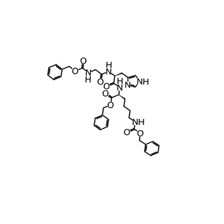 O=C(CNC(=O)OCc1ccccc1)N[C@@H](Cc1c[nH]cn1)C(=O)N[C@@H](CCCCNC(=O)OCc1ccccc1)C(=O)OCc1ccccc1